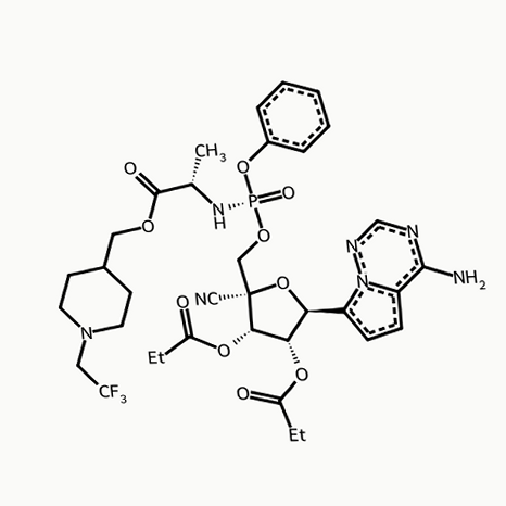 CCC(=O)O[C@H]1[C@H](c2ccc3c(N)ncnn23)O[C@](C#N)(CO[P@@](=O)(N[C@@H](C)C(=O)OCC2CCN(CC(F)(F)F)CC2)Oc2ccccc2)[C@H]1OC(=O)CC